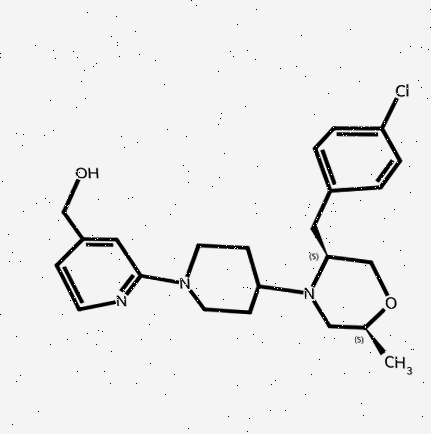 C[C@H]1CN(C2CCN(c3cc(CO)ccn3)CC2)[C@@H](Cc2ccc(Cl)cc2)CO1